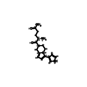 NC(=O)CC[C@H](N)C(=O)N1CCn2c(-c3nn[nH]n3)cnc2C1